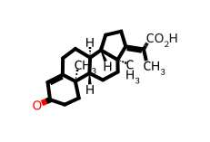 C/C(C(=O)O)=C1/CC[C@H]2[C@@H]3CCC4=CC(=O)CC[C@]4(C)[C@H]3CC[C@]12C